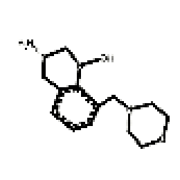 N[C@H]1Cc2cccc(CN3CCOCC3)c2N(O)C1